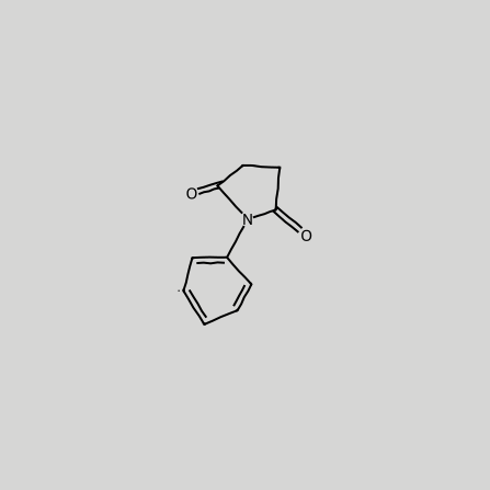 O=C1CCC(=O)N1c1c[c]ccc1